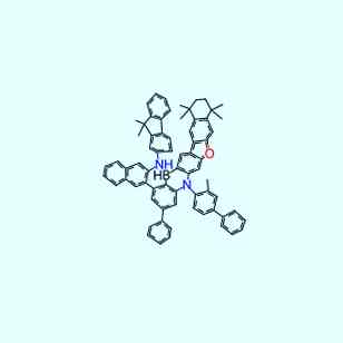 Cc1cc(-c2ccccc2)ccc1N1c2cc3oc4cc5c(cc4c3cc2Bc2c(-c3cc4ccccc4cc3Nc3ccc4c(c3)C(C)(C)c3ccccc3-4)cc(-c3ccccc3)cc21)C(C)(C)CCC5(C)C